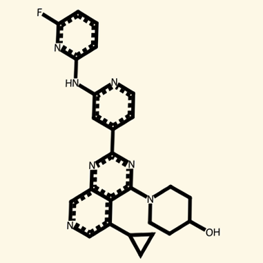 OC1CCN(c2nc(-c3ccnc(Nc4cccc(F)n4)c3)nc3cncc(C4CC4)c23)CC1